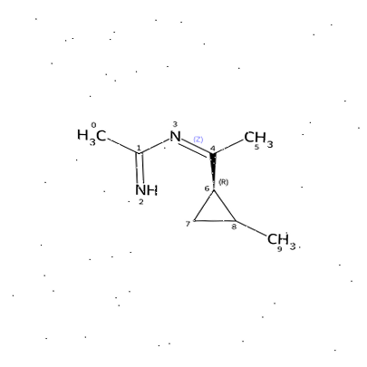 CC(=N)/N=C(/C)[C@@H]1CC1C